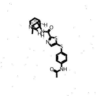 CC(=O)Nc1ccc(Sc2cnc(C(=O)N[C@@H]3C4CCN(CC4)[C@H]3C)s2)cc1